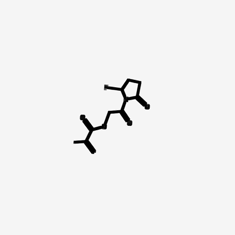 C=C(C)C(=O)OCC(=O)N1C(=O)CCC1F